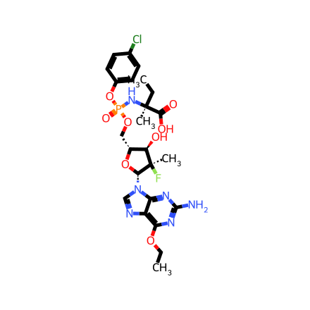 CCOc1nc(N)nc2c1ncn2[C@@H]1O[C@H](COP(=O)(N[C@@](C)(CC)C(=O)O)Oc2ccc(Cl)cc2)[C@@H](O)[C@@]1(C)F